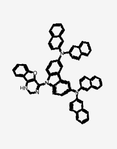 c1ccc2cc(N(c3ccc4ccccc4c3)c3ccc4c(c3)c3cc(N(c5ccc6ccccc6c5)c5ccc6ccccc6c5)ccc3n4C3=NCNc4c3oc3ccccc43)ccc2c1